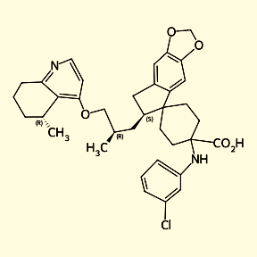 C[C@@H](COc1ccnc2c1[C@H](C)CCC2)C[C@H]1Cc2cc3c(cc2C12CCC(Nc1cccc(Cl)c1)(C(=O)O)CC2)OCO3